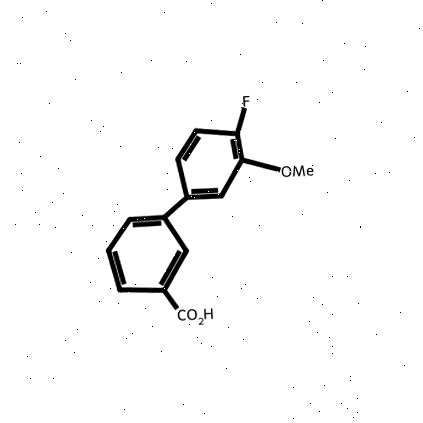 COc1cc(-c2cccc(C(=O)O)c2)ccc1F